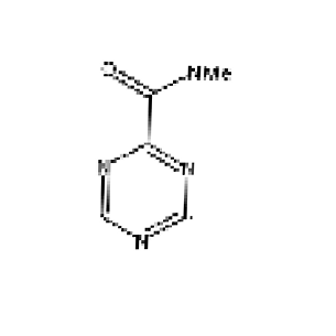 CNC(=O)c1n[c]ncn1